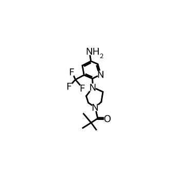 CC(C)(C)C(=O)N1CCN(c2ncc(N)cc2C(F)(F)F)CC1